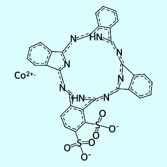 O=S(=O)([O-])c1ccc2c3nc4nc(nc5[nH]c(nc6nc(nc([nH]3)c2c1S(=O)(=O)[O-])-c1ccccc1-6)c1ccccc51)-c1ccccc1-4.[Co+2]